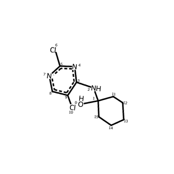 OC1(Nc2nc(Cl)ncc2Cl)CCCCC1